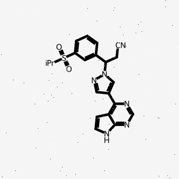 CC(C)S(=O)(=O)c1cccc(C(CC#N)n2cc(-c3ncnc4[nH]ccc34)cn2)c1